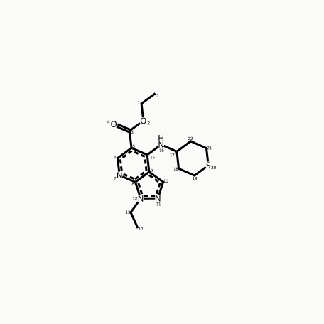 CCOC(=O)c1cnc2c(cnn2CC)c1NC1CCSCC1